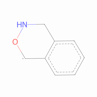 [CH]1ONCc2ccccc21